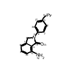 CC(C)c1ccc(N2Cc3cccc(N)c3C2=O)cc1